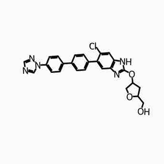 OCC1CC(Oc2nc3cc(-c4ccc(-c5ccc(-n6cncn6)cc5)cc4)c(Cl)cc3[nH]2)CO1